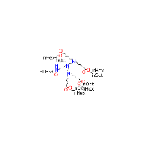 CCCCCCCCC(CCCCCC)COC(=O)CCCCCN(CCCCCC(=O)OCC(CCCCCC)CCCCCCCC)CCN(CCCCNC(=O)CCCCCCC)CCN(CCCCCC(=O)OCC(CCCCCC)CCCCCCCC)CCCCCC(=O)OCC(CCCCCC)CCCCCCCC